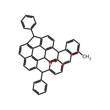 C/C=C\C=C/C1=CC23c4c(ccc5c4-c4c(ccc6ccc(c2c46)C(c2ccccc2)c2cccc[n+]23)C5c2ccccc2)C1c1ccccc1